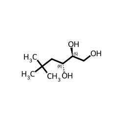 CC(C)(C)C[C@@H](O)[C@@H](O)CO